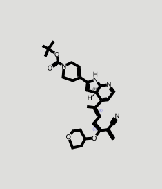 C=C(C#N)/C(=C\C=C(/C)C1=CC=NC2NC(C3=CCN(C(=O)OC(C)(C)C)CC3)=C[C@H]12)OC1CCOCC1